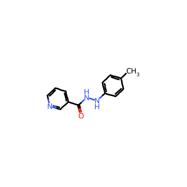 Cc1ccc(NNC(=O)c2cccnc2)cc1